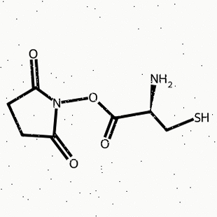 N[C@@H](CS)C(=O)ON1C(=O)CCC1=O